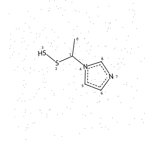 CC(SS)n1ccnc1